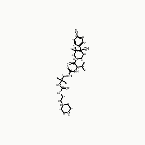 CC(C)C(NC(=O)NCC(C)(C)OC(=O)OCCN1CCOCC1)C(=O)N1CCC(O)(c2ccc(Cl)cc2)C(C)(C)C1